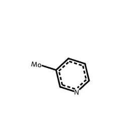 [Mo][c]1cccnc1